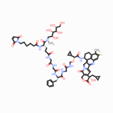 Cc1c(F)cc2nc3c(c4c2c1CC[C@@H]4NC(=O)[C@H](OCNC(=O)CNC(=O)[C@H](Cc1ccccc1)NC(=O)CNC(=O)CNC(=O)CC[C@H](NC(=O)CCCCCN1C(=O)C=CC1=O)C(=O)N(C)C[C@H](O)[C@@H](O)[C@H](O)[C@H](O)CO)C1CC1)Cn1c-3cc2c(c1=O)COC(=O)[C@]2(O)CC1CC1